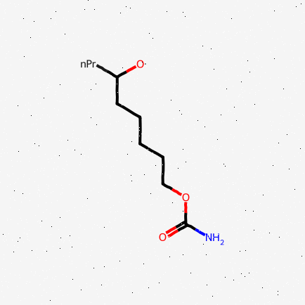 C[CH]CC([O])CCCCCOC(N)=O